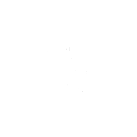 ClC1=C(Cl)C2(Cl)C[CH]C1(Cl)C2(Cl)Cl